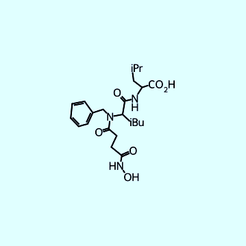 CCC(C)C(C(=O)NC(CC(C)C)C(=O)O)N(Cc1ccccc1)C(=O)CCC(=O)NO